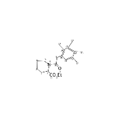 CCOC(=O)C1CCCCN1C(=O)Cc1cc(C)c(C)c(C)c1C